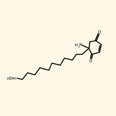 CCCCCCCCCCCCCCCCCCCCCC1(N)CC(=O)C=CC1=O